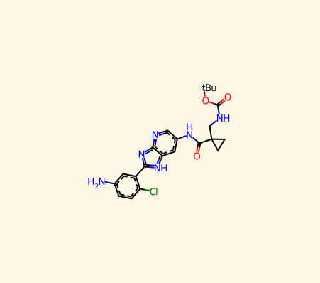 CC(C)(C)OC(=O)NCC1(C(=O)Nc2cnc3nc(-c4cc(N)ccc4Cl)[nH]c3c2)CC1